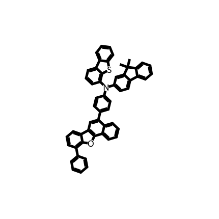 CC1(C)c2ccccc2-c2ccc(N(c3ccc(-c4cc5c6cccc(-c7ccccc7)c6oc5c5ccccc45)cc3)c3cccc4c3sc3ccccc34)cc21